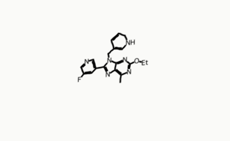 CCOc1nc(C)c2nc(-c3cncc(F)c3)n(CC3=CNCC=C3)c2n1